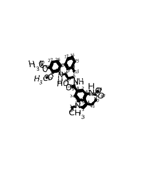 CCn1cc2c3c(cc(C(=O)N[C@@H](Cc4ccccc4)[C@H](O)CNc4cccc(OC)c4OC)cc31)NS(=O)(=O)CC2